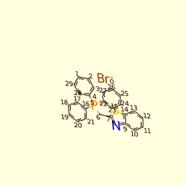 [Br-].c1ccc([P+](Cc2nc3ccccc3s2)(c2ccccc2)c2ccccc2)cc1